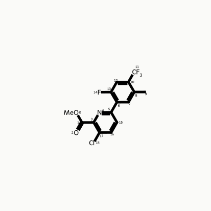 COC(=O)c1nc(-c2cc(C)c(C(F)(F)F)cc2F)ccc1Cl